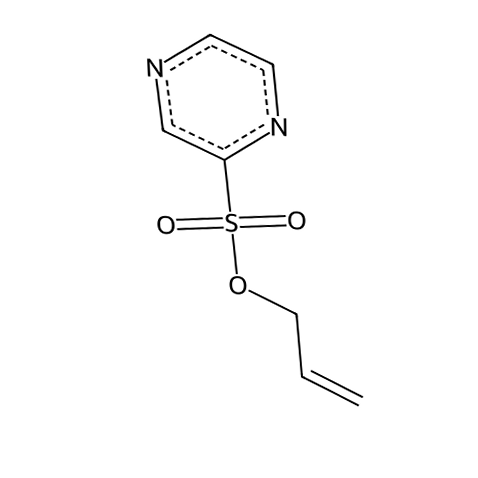 C=CCOS(=O)(=O)c1cnccn1